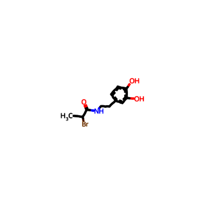 CC(Br)C(=O)NCCc1ccc(O)c(O)c1